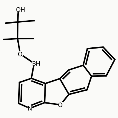 CC(C)(O)C(C)(C)OBc1ccnc2oc3cc4ccccc4cc3c12